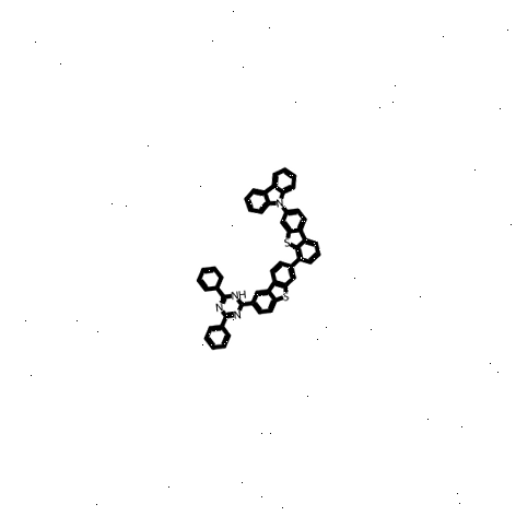 C1=CCC(C2=NC(c3ccccc3)=NC(c3ccc4sc5cc(-c6cccc7c6sc6cc(-n8c9ccccc9c9ccccc98)ccc67)ccc5c4c3)N2)C=C1